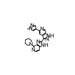 Cn1cc(-c2cc3c(-c4nc5c(N6CCCCC6)nccc5[nH]4)n[nH]c3cn2)cn1